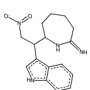 N=C1CCCCC(C(C[N+](=O)[O-])c2c[nH]c3ccccc23)N1